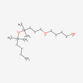 CCCC[Si](C)(C)O[Si](C)(C)CCCOCCCCO